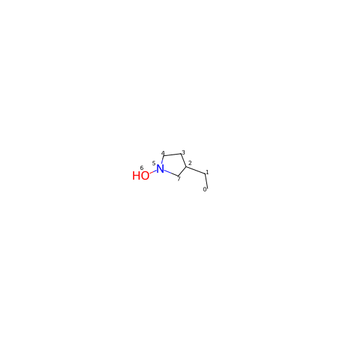 CCC1CCN(O)C1